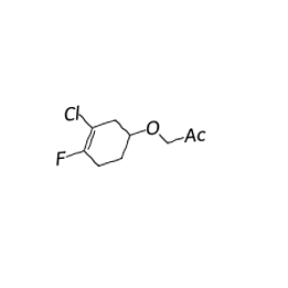 CC(=O)COC1CCC(F)=C(Cl)C1